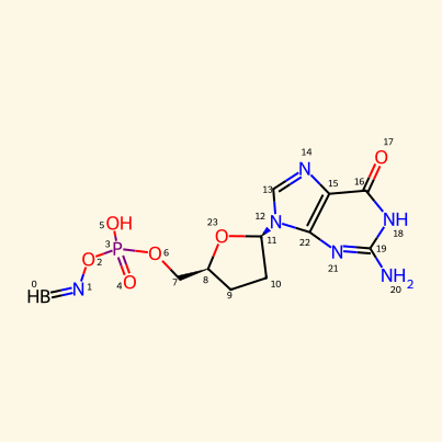 B=NOP(=O)(O)OC[C@@H]1CC[C@H](n2cnc3c(=O)[nH]c(N)nc32)O1